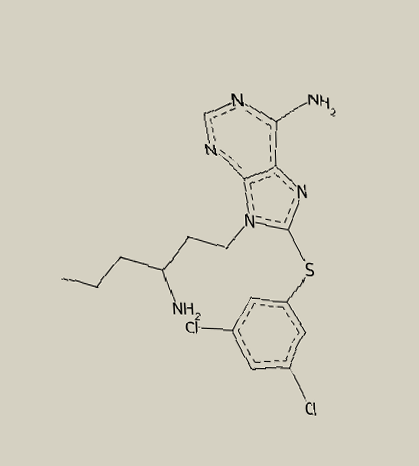 CCCC(N)CCn1c(Sc2cc(Cl)cc(Cl)c2)nc2c(N)ncnc21